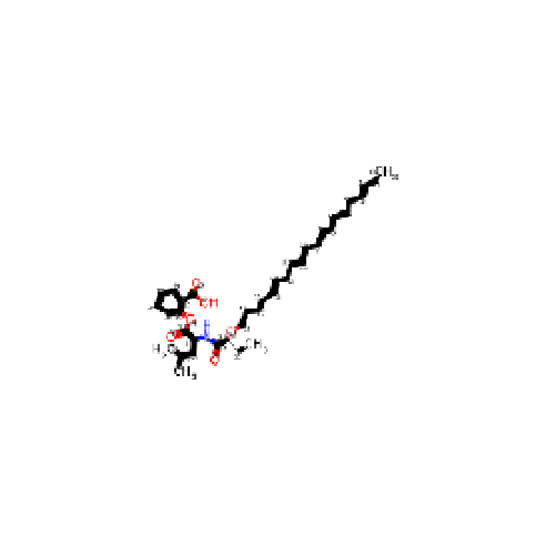 CCC=CCC=CCC=CCC=CCC=CCCCCO[C@H](CC)C(=O)NC(CC(C)C)C(=O)Oc1ccccc1C(=O)O